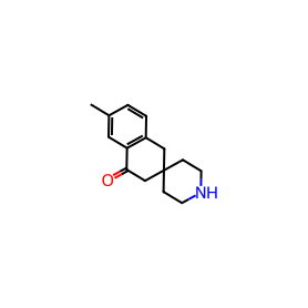 Cc1ccc2c(c1)C(=O)CC1(CCNCC1)C2